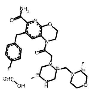 C[C@@H]1CN(CC(=O)N2CCOc3nc(C(N)=O)c(Cc4ccc(F)cc4)cc32)[C@@H](CN2CCOC[C@H]2C)CN1.O=CO